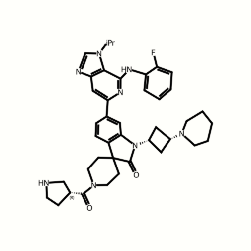 CC(C)n1cnc2cc(-c3ccc4c(c3)N([C@H]3C[C@@H](N5CCCCC5)C3)C(=O)C43CCN(C(=O)[C@@H]4CCNC4)CC3)nc(Nc3ccccc3F)c21